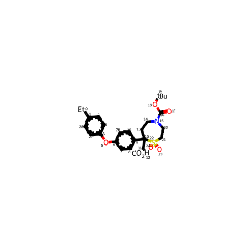 CCc1ccc(Oc2ccc(C3(CC(=O)O)CCN(C(=O)OC(C)(C)C)CCS3(=O)=O)cc2)cc1